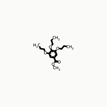 CCCOc1cc(C(=O)OC)cc(OCCC)c1OCCC